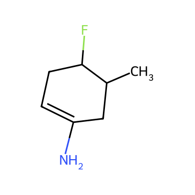 CC1CC(N)=CCC1F